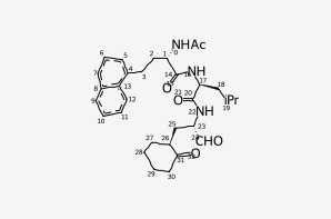 CC(=O)N[C@@H](CCc1cccc2ccccc12)C(=O)N[C@@H](CC(C)C)C(=O)N[C@H](C=O)C[C@@H]1CCCCC1=O